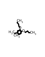 CCCCOc1ccc(C(C)C)cc1OCCCC